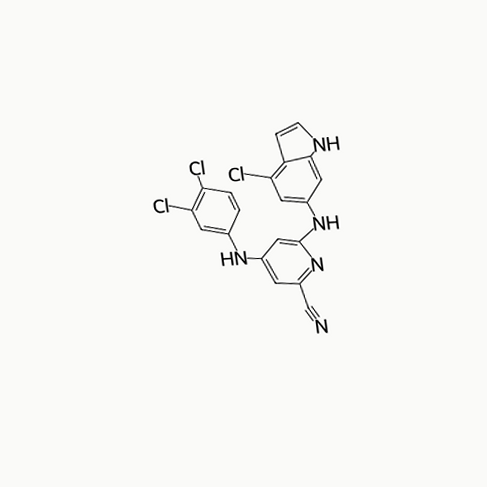 N#Cc1cc(Nc2ccc(Cl)c(Cl)c2)cc(Nc2cc(Cl)c3cc[nH]c3c2)n1